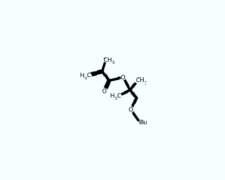 C=C(C)C(=O)OC(C)(C)COC(C)CC